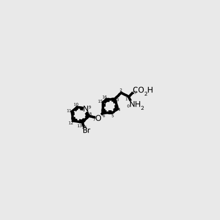 NC(Cc1ccc(Oc2ncccc2Br)cc1)C(=O)O